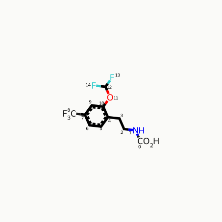 O=C(O)NCCc1ccc(C(F)(F)F)cc1OC(F)F